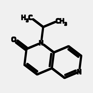 CC(C)n1c(=O)ccc2cnccc21